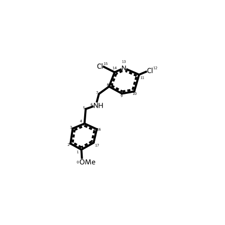 COc1ccc(CNCc2ccc(Cl)nc2Cl)cc1